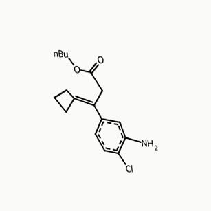 CCCCOC(=O)CC(=C1CCC1)c1ccc(Cl)c(N)c1